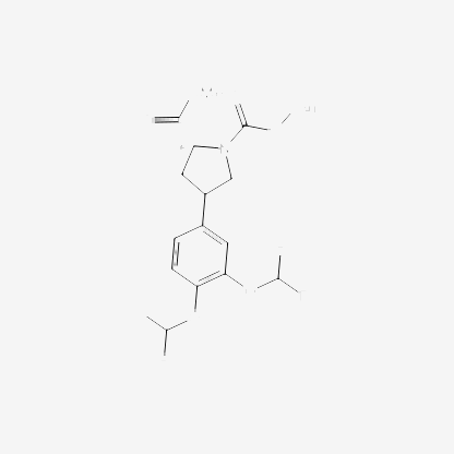 COC(=O)[C@H]1CC(c2ccc(OC(F)F)c(OC(F)F)c2)CN1C(=O)OC(C)(C)C